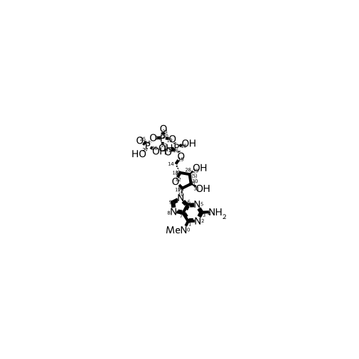 CNc1nc(N)nc2c1ncn2[C@@H]1O[C@H](COP(=O)(O)OP(=O)(O)OP(=O)(O)O)[C@@H](O)[C@H]1O